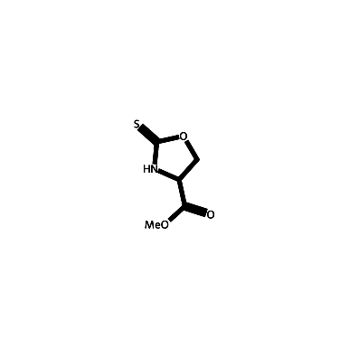 COC(=O)C1COC(=S)N1